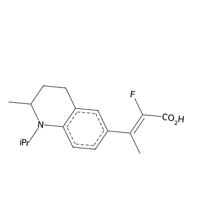 CC(=C(F)C(=O)O)c1ccc2c(c1)CCC(C)N2C(C)C